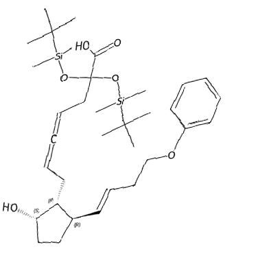 CC(C)(C)[Si](C)(C)OC(CC=C=CC[C@H]1[C@@H](O)CC[C@@H]1C=CCCOc1ccccc1)(O[Si](C)(C)C(C)(C)C)C(=O)O